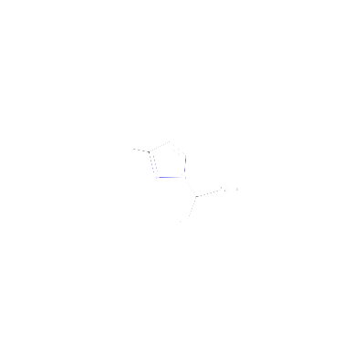 CCCC(NC(C)=O)n1c[c]c(C(F)(F)F)n1